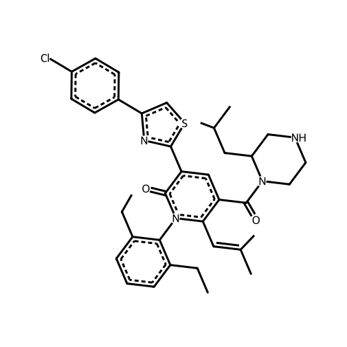 CCc1cccc(CC)c1-n1c(C=C(C)C)c(C(=O)N2CCNCC2CC(C)C)cc(-c2nc(-c3ccc(Cl)cc3)cs2)c1=O